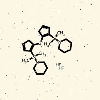 C[Si](C)(C1=[C]([Zr][C]2=C([Si](C)(C)N3CCCCC3)C=CC2)CC=C1)N1CCCCC1.F.F